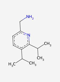 CC(C)c1ccc(CN)nc1C(C)C